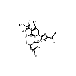 NS(=O)(=O)c1c(F)cc(-c2cc(C(F)F)nn2-c2cc(F)cc(F)c2)cc1F